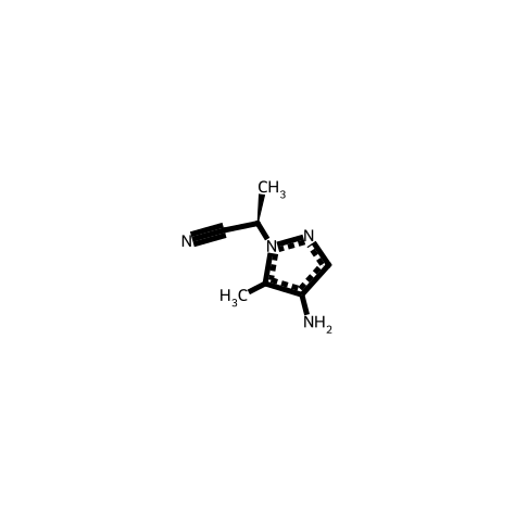 Cc1c(N)cnn1[C@H](C)C#N